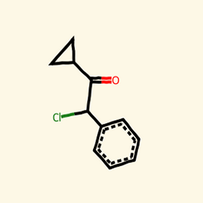 O=C(C1CC1)C(Cl)c1ccccc1